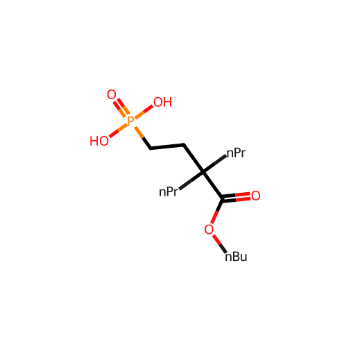 CCCCOC(=O)C(CCC)(CCC)CCP(=O)(O)O